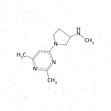 CNC1CCN(c2cc(C)nc(C)n2)C1